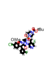 COC(=O)N[C@H](C(=O)Nc1cncc(F)c1CC[C@H]1CN(C(=O)OC(C)(C)C)C[C@H](C)N1S(=O)(=O)C1CC1)[C@@H](c1ccc(Cl)cc1)c1cccc(F)c1